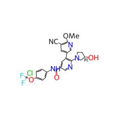 COc1ncc(-c2cc(C(=O)Nc3ccc(OC(F)(F)Cl)cc3)cnc2N2CC[C@@H](O)C2)cc1C#N